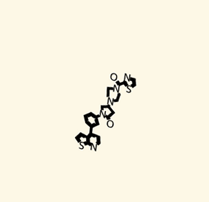 O=C(c1nccs1)N1CCN(C2CC(=O)N(c3cccc(-c4ccnc5sccc45)c3)C2)CC1